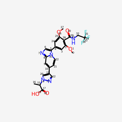 COc1cc(-c2cnc3cc(-c4cnn(C(C)C(=O)O)c4)ccn23)cc(OC)c1C(=O)NCC(F)(F)F